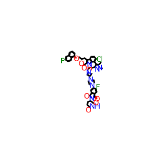 Cc1nn(C)c(C)c1-c1c(Cl)ccc2c(CCCOc3cccc4cc(F)ccc34)c(C(=O)O)n(CCN3CC(N4CCN(c5cc6c(cc5F)C(=O)N(C5CCC(=O)NC5=O)C6=O)CC4)C3)c12